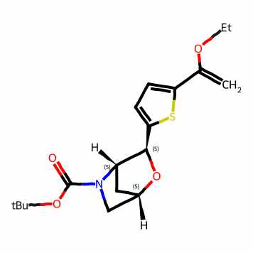 C=C(OCC)c1ccc([C@H]2O[C@H]3C[C@@H]2N(C(=O)OC(C)(C)C)C3)s1